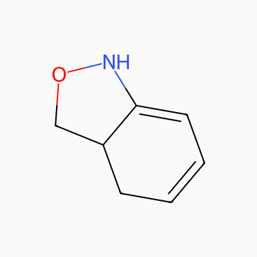 C1=CCC2CONC2=C1